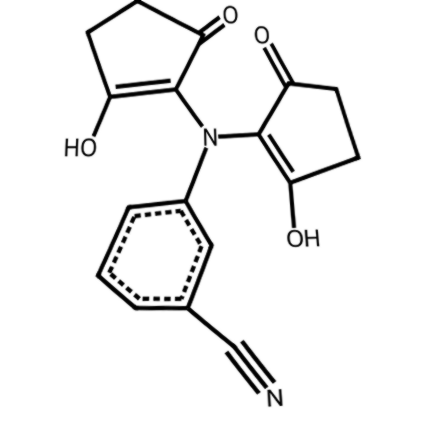 N#Cc1cccc(N(C2=C(O)CCC2=O)C2=C(O)CCC2=O)c1